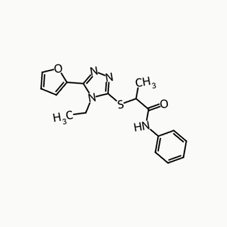 CCn1c(SC(C)C(=O)Nc2ccccc2)nnc1-c1ccco1